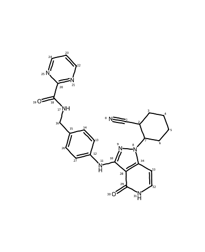 N#CC1CCCCC1n1nc(Nc2ccc(CNC(=O)c3ncccn3)cc2)c2c(=O)[nH]ccc21